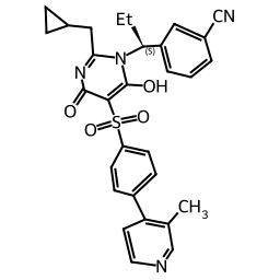 CC[C@@H](c1cccc(C#N)c1)n1c(CC2CC2)nc(=O)c(S(=O)(=O)c2ccc(-c3ccncc3C)cc2)c1O